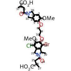 COc1cc2c(cc1OCCCOc1c(Br)c3c(c(Cl)c1OC)CN(C(=O)C[C@H](C)C(=O)O)C3C)CN(C(=O)C[C@H](C)C(=O)O)C2